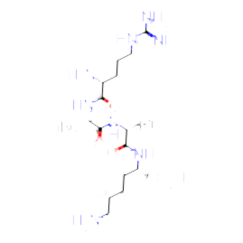 CC[C@H](C)[C@H](NC(=O)[C@@H](N)CCCNC(=N)N)C(=O)N[C@H](C(=O)N[C@@H](CCCCN)C(=O)O)C(C)C